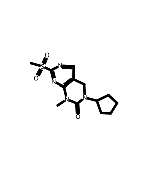 CN1C(=O)N(C2CCCC2)Cc2cnc(S(C)(=O)=O)nc21